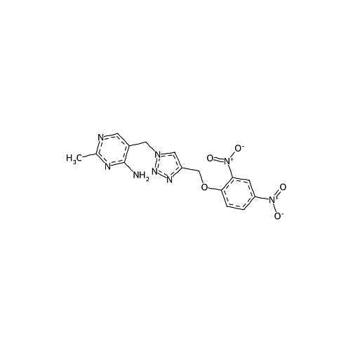 Cc1ncc(Cn2cc(COc3ccc([N+](=O)[O-])cc3[N+](=O)[O-])nn2)c(N)n1